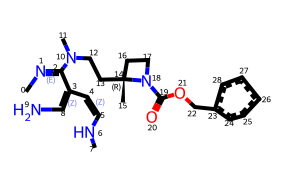 C\N=C(C(/C=C\NC)=C\N)\N(C)CC[C@]1(C)CCN1C(=O)OCc1ccccc1